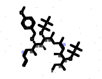 C=C/C=C\[C@H](C)[C@H](OCc1ccc(OC)cc1)[C@@H](C)[C@H](O[Si](C)(C)C(C)(C)C)[C@@H](C)C/C(C)=C\[C@H](C)[C@@H](O[Si](C)(C)C(C)(C)C)[C@@H](C)CI